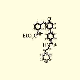 CCOC(=O)Nc1cccc(Cn2nc(-c3ccc(C(=O)NCCN4CCOCC4)cc3)ccc2=O)c1